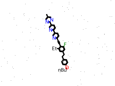 CCCCOc1ccc(CCc2cc(F)c(C#Cc3ccc(-c4ccc(-c5ncc(C)cn5)cn4)cn3)c(CC)c2)cc1